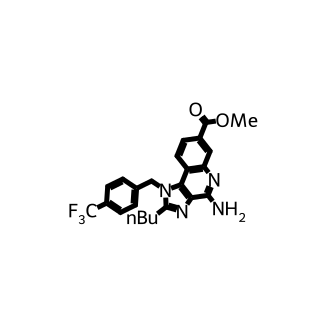 CCCCc1nc2c(N)nc3cc(C(=O)OC)ccc3c2n1Cc1ccc(C(F)(F)F)cc1